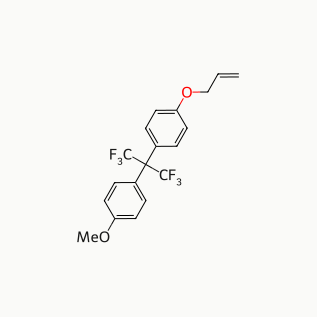 C=CCOc1ccc(C(c2ccc(OC)cc2)(C(F)(F)F)C(F)(F)F)cc1